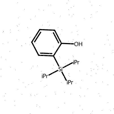 CC(C)[Si](c1ccccc1O)(C(C)C)C(C)C